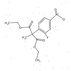 CCOC(=O)C(C)(C(=O)OCC)c1ccc([N+](=O)[O-])cc1F